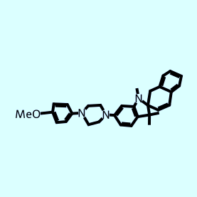 COc1ccc(N2CCN(c3ccc4c(c3)N(C)C3(C=Cc5ccccc5C3)C4(C)C)CC2)cc1